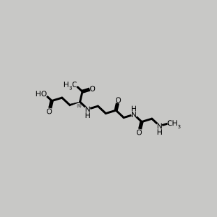 CNCC(=O)NCC(=O)CCN[C@@H](CCC(=O)O)C(C)=O